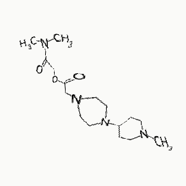 CN1CCC(N2CCN(CC(=O)OCC(=O)N(C)C)CC2)CC1